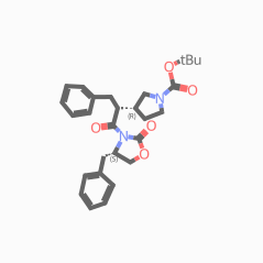 CC(C)(C)OC(=O)N1CC[C@H](C(Cc2ccccc2)C(=O)N2C(=O)OC[C@@H]2Cc2ccccc2)C1